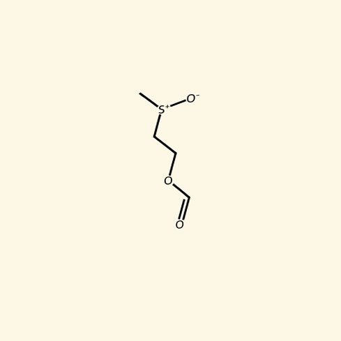 C[S+]([O-])CCOC=O